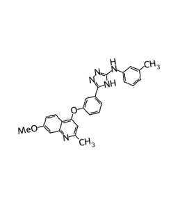 COc1ccc2c(Oc3cccc(-c4nnc(Nc5cccc(C)c5)[nH]4)c3)cc(C)nc2c1